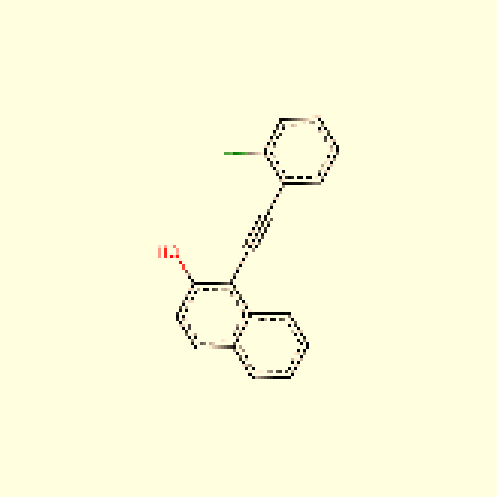 Oc1ccc2ccccc2c1C#Cc1ccccc1F